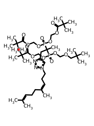 CC(C)=CCC/C(C)=C\CCn1cc(CC(C)(P(=O)(OCOCC(C)(C)C)OCOC(=O)C(C)(C)C)P(=O)(OCOC(=O)C(C)(C)C)OCOC(=O)C(C)(C)C)nn1